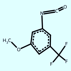 COc1cc(N=C=O)cc(C(F)(F)F)c1